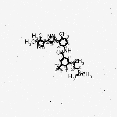 Cc1ccc(NC(=O)C2=CC(C(F)(F)F)C(F)C(N(C)CCN(C)C)=C2)cc1-n1cc(-c2cnn(C)c2C)nn1